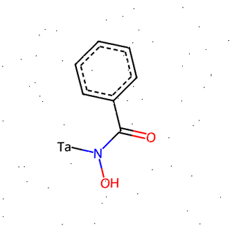 O=C(c1ccccc1)[N](O)[Ta]